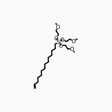 C=CCCCCCCCCCCCC[Si](OCCOC)(OCCOC)OCCOC